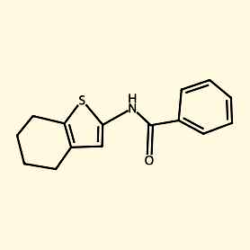 O=C(Nc1cc2c(s1)CCCC2)c1ccccc1